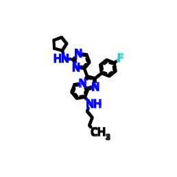 CCCCNc1cccn2c(-c3ccnc(NC4CCCC4)n3)c(-c3ccc(F)cc3)nc12